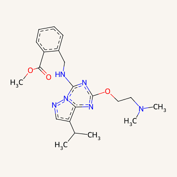 COC(=O)c1ccccc1CNc1nc(OCCN(C)C)nc2c(C(C)C)cnn12